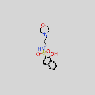 O=S(=O)(NCCCN1CCOCC1)c1ccc2ccccc2c1O